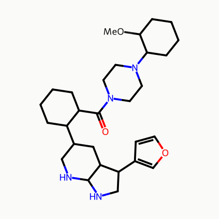 COC1CCCCC1N1CCN(C(=O)C2CCCCC2C2CNC3NCC(c4ccoc4)C3C2)CC1